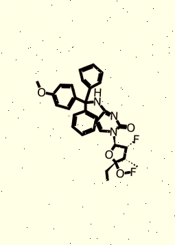 CC[C@@]1(OF)O[C@@H](n2ccc(NC(c3ccccc3)(c3ccccc3)c3ccc(OC)cc3)nc2=O)[C@H](F)[C@@H]1C